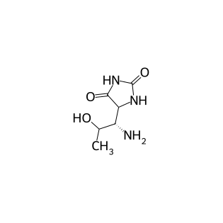 CC(O)[C@@H](N)C1NC(=O)NC1=O